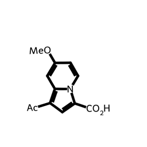 COc1ccn2c(C(=O)O)cc(C(C)=O)c2c1